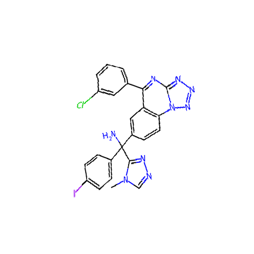 Cn1cnnc1C(N)(c1ccc(I)cc1)c1ccc2c(c1)c(-c1cccc(Cl)c1)nc1nnnn12